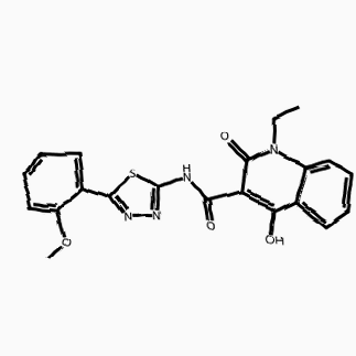 CCn1c(=O)c(C(=O)Nc2nnc(-c3ccccc3OC)s2)c(O)c2ccccc21